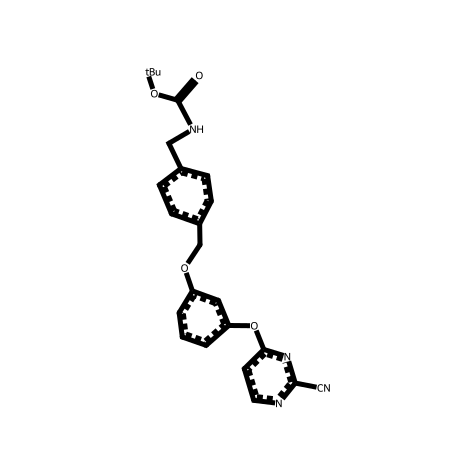 CC(C)(C)OC(=O)NCc1ccc(COc2cccc(Oc3ccnc(C#N)n3)c2)cc1